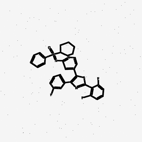 O=S(=Nc1cc(-c2sc(-c3c(F)cccc3F)nc2-c2cccc(F)c2)ccn1)(c1ccccc1)C1CCCCC1